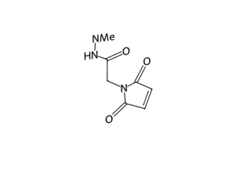 CNNC(=O)CN1C(=O)C=CC1=O